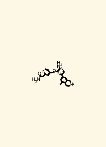 Cc1cc(-c2cnc(N)c(OCc3ccnc(CC(N)=O)c3)n2)cc2c1CCN(C)C2